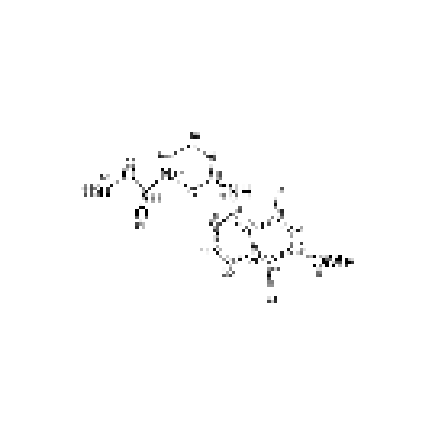 COc1cc(C)c2c(N[C@@H]3CCCN(C(=O)OC(C)(C)C)C3)nccc2c1F